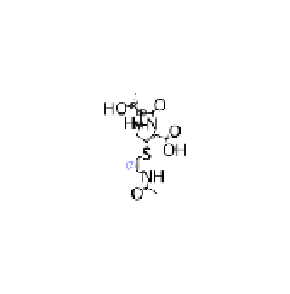 CC(=O)N/C=C\SC1=C(C(=O)O)N2C(=O)[C@H]([C@@H](C)O)[C@H]2C1